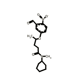 CC(CCC(=O)N(C)C1CCCCC1)Oc1ccc([N+](=O)[O-])c(C=O)c1